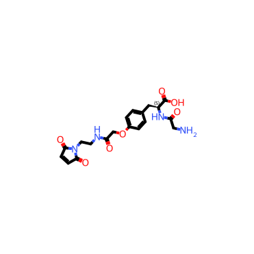 NCC(=O)N[C@@H](Cc1ccc(OCC(=O)NCCN2C(=O)C=CC2=O)cc1)C(=O)O